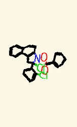 O=C(ON1c2ccc3ccccc3c2CC1(Cl)c1ccccc1Cl)c1ccccc1